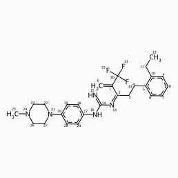 C=C(/C(CCc1ccccc1CC)=N\C(=N)Nc1ccc(N2CCN(C)CC2)cc1)C(F)(F)F